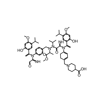 C=C(c1cc(C(C)C)c(OC)cc1O)N(C(=N)C(=O)N(C(C)C)N(Cc1ccc(N(C(=C)c2cc(C(C)C)c(OC)cc2O)C(=N)C=O)cc1)C(C)C(=O)OC)C1=CC=C(CN2CCC(C(=O)O)CC2)CC1